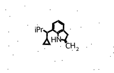 C=C1Cc2cccc(C(C(C)C)C3CC3)c2N1